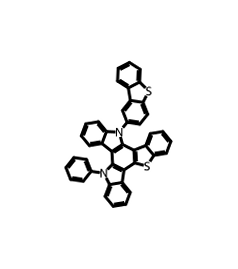 c1ccc(-n2c3ccccc3c3c4sc5ccccc5c4c4c(c5ccccc5n4-c4ccc5sc6ccccc6c5c4)c32)cc1